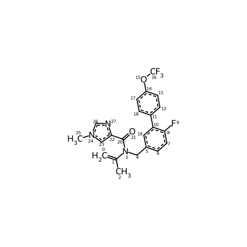 C=C(C)N(Cc1ccc(F)c(-c2ccc(OC(F)(F)F)cc2)c1)C(=O)c1cn(C)cn1